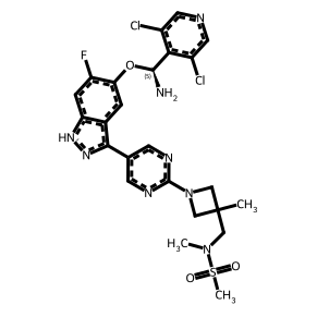 CN(CC1(C)CN(c2ncc(-c3n[nH]c4cc(F)c(O[C@H](N)c5c(Cl)cncc5Cl)cc34)cn2)C1)S(C)(=O)=O